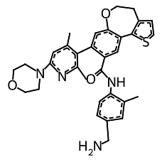 Cc1cc(CN)ccc1NC(=O)c1cc2c(cc1-c1c(C)cc(N3CCOCC3)nc1C)OCCc1ccsc1-2